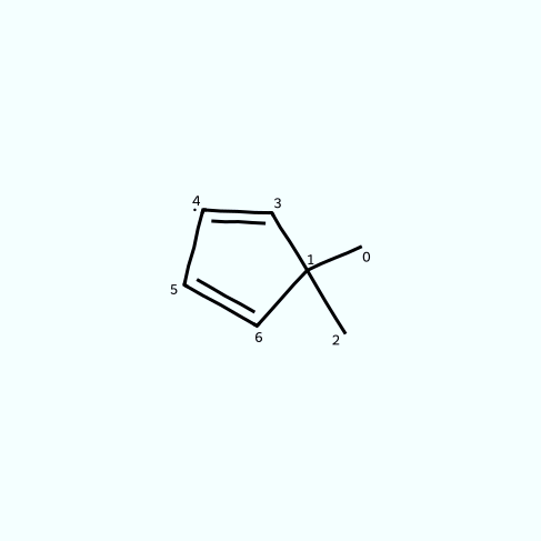 CC1(C)C=[C]C=C1